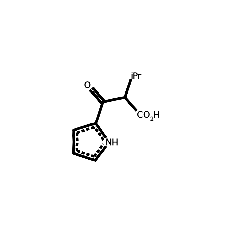 CC(C)C(C(=O)O)C(=O)c1ccc[nH]1